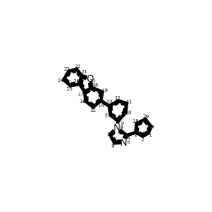 c1ccc(-c2nccn2-c2cccc(-c3ccc4c(c3)oc3ccccc34)c2)cc1